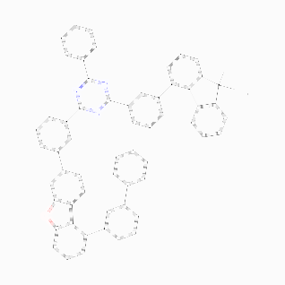 CC1(C)c2ccccc2-c2c(-c3cccc(-c4nc(-c5ccccc5)nc(-c5cccc(-c6ccc7c(c6)oc6cccc(-c8cccc(-c9ccccc9)c8)c67)c5)n4)c3)cccc21